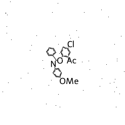 COc1ccc(N=C(Oc2ccc(Cl)cc2C(C)=O)c2ccccc2)cc1